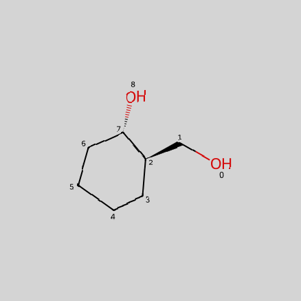 OC[C@H]1CCCC[C@@H]1O